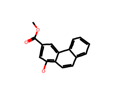 COC(=O)c1cc([O])c2ccc3ccccc3c2c1